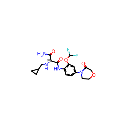 NC(=O)[C@@H](NCC1CC1)C(=O)Nc1ccc(N2CCOCC2=O)cc1OC(F)F